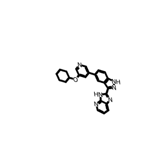 c1cnc2[nH]c(-c3n[nH]c4ccc(-c5cncc(OC6CCCCC6)c5)cc34)nc2c1